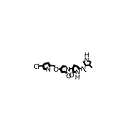 CC1CNCC1N(C)c1ccc(-n2ccc(OCc3ccc(Cl)cn3)cc2=O)c(=O)[nH]1